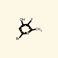 Cc1nc(Br)cc(O)c1F